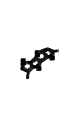 Cc1cc2sc3c4scc(C)c4sc3c2s1